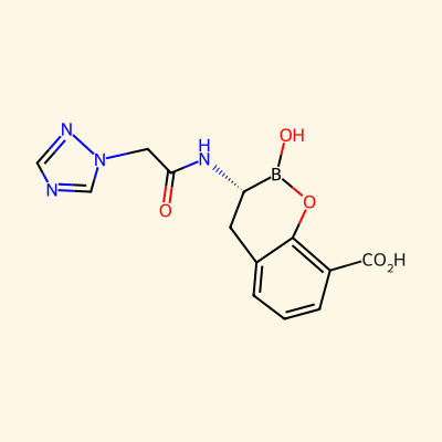 O=C(Cn1cncn1)N[C@H]1Cc2cccc(C(=O)O)c2OB1O